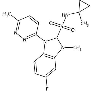 Cc1ccc(N2c3ccc(F)cc3N(C)C2S(=O)(=O)NC2(C)CC2)nn1